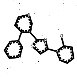 Clc1ccccc1-c1csc(-c2cnccc2-c2ccccc2)n1